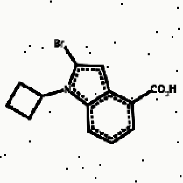 O=C(O)c1cccc2c1cc(Br)n2C1CCC1